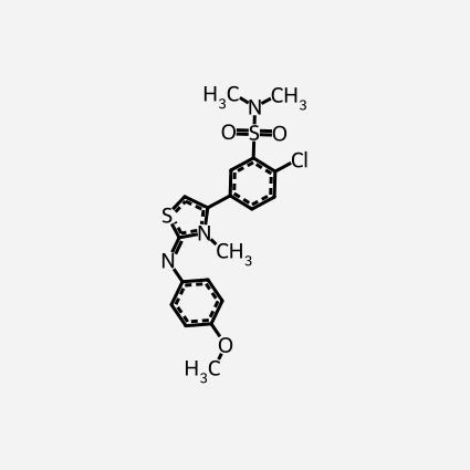 COc1ccc(N=c2scc(-c3ccc(Cl)c(S(=O)(=O)N(C)C)c3)n2C)cc1